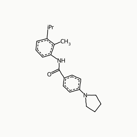 Cc1c(NC(=O)c2ccc(N3CCCC3)cc2)cccc1C(C)C